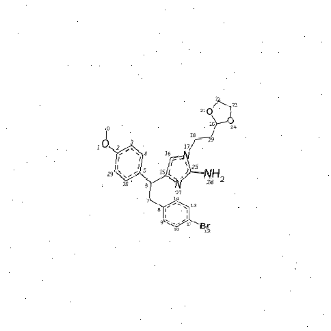 COc1ccc(C(Cc2ccc(Br)cc2)c2cn(CCC3OCCO3)c(N)n2)cc1